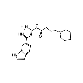 N=C(/C=C(\N)NC(=O)CCCN1CCCCC1)c1ccc2cc[nH]c2c1